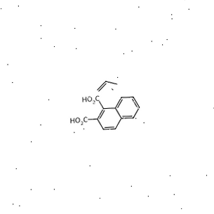 C=CC.O=C(O)c1ccc2ccccc2c1C(=O)O